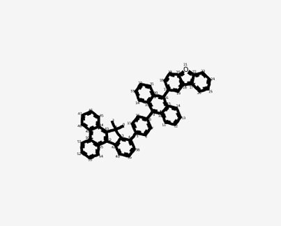 CC1(C)c2c(-c3ccc(-c4c5ccccc5c(-c5ccc6oc7ccccc7c6c5)c5ccccc45)cc3)cccc2-c2c1c1ccccc1c1ccccc21